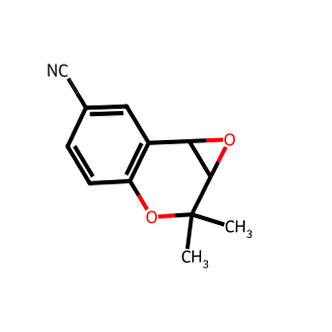 CC1(C)Oc2ccc(C#N)cc2C2OC21